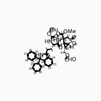 COC(=O)[C@]1(NC(=O)[C@H](CCC(=O)NC(c2ccccc2)(c2ccccc2)c2ccccc2)NC(=O)OC(C)(C)C)CS(=O)(=O)[C@H]2[C@H](COC=O)[C@H]21